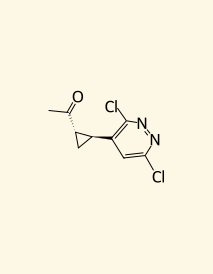 CC(=O)[C@H]1C[C@@H]1c1cc(Cl)nnc1Cl